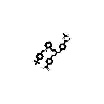 C/N=C(\OC(C)=O)c1ccc(CC(/C=C/c2ccccc2OCc2ccc(C(C)(C)C)cc2)CCc2ccc(C(=O)O)cc2)cc1